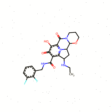 CCNC1CC2C3OCCCN3C(=O)c3c(O)c(=O)c(C(=O)NCc4cccc(F)c4F)c1n32